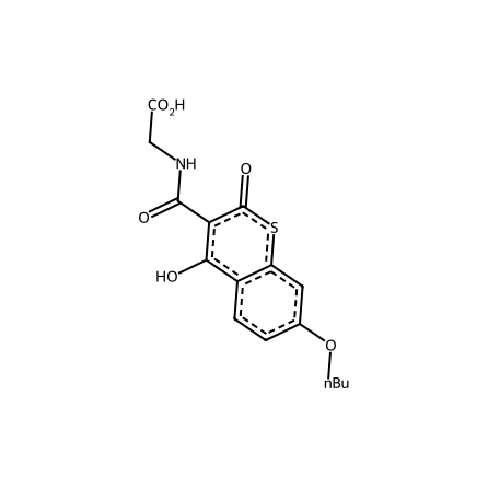 CCCCOc1ccc2c(O)c(C(=O)NCC(=O)O)c(=O)sc2c1